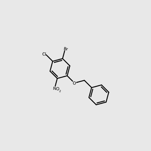 O=[N+]([O-])c1cc(Cl)c(Br)cc1OCc1ccccc1